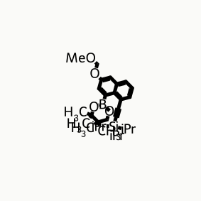 COCOc1cc(B2OCC(C)(C)C(C)(C)O2)c2c(C#C[Si](C(C)C)(C(C)C)C(C)C)cccc2c1